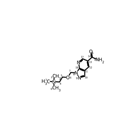 C[Si](C)(C)CCOCn1ncc2cc(C(N)=O)cnc21